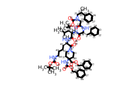 CC(C)C[C@@H](NC(=O)[C@@H](Cc1ccccc1)NC(=O)CN(C[C@H](C)c1ccccc1)C(=O)OC(C)(C)C)C(=O)N[C@H](CCCCNC(=O)OC(C)(C)C)C(=O)N1CCC(NC(=O)OCc2ccccc2)(C(=O)OCc2ccccc2)CC1